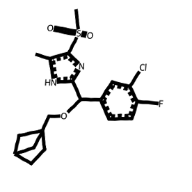 Cc1[nH]c(C(OCC23CCC(C2)C3)c2ccc(F)c(Cl)c2)nc1S(C)(=O)=O